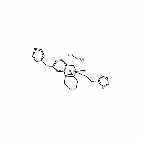 O=S(=O)(O)O.c1ccc(Oc2ccc3c(c2)[C@@]24CCCC[C@H]2[C@@H](C3)N(CCc2cccs2)CC4)cc1